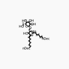 CCCCCCCCCCCCCCC/C=C/[C@@H](O)[C@H](CO[C@@H]1O[C@H](CO)[C@@H](O)[C@H](O)[C@H]1O)NC(=O)CCCCCCCCCCCCCCC